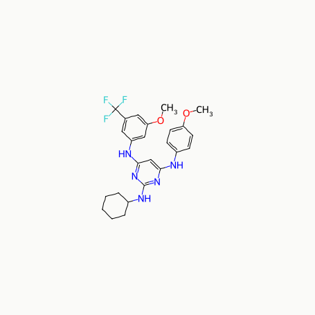 COc1ccc(Nc2cc(Nc3cc(OC)cc(C(F)(F)F)c3)nc(NC3CCCCC3)n2)cc1